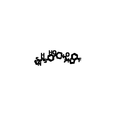 C[C@@H](C(=O)N1CCC(O)(c2ccc(SNc3nccs3)cc2)CC1)n1ccc2c(F)cccc21